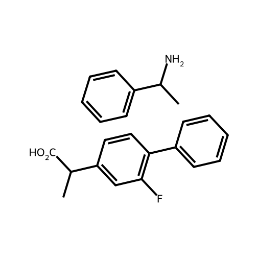 CC(C(=O)O)c1ccc(-c2ccccc2)c(F)c1.CC(N)c1ccccc1